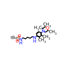 Cc1c(NCCCCCNS(=O)(=O)C(C)(C)C)ccc(N2C[C@H](C)O[C@H](C)C2C)c1C